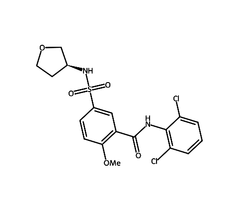 COc1ccc(S(=O)(=O)N[C@H]2CCOC2)cc1C(=O)Nc1c(Cl)cccc1Cl